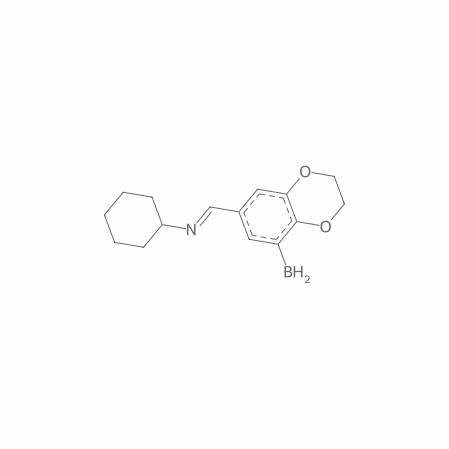 Bc1cc(/C=N/C2CCCCC2)cc2c1OCCO2